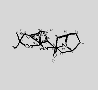 CC(C)(C)OC(=O)NC1CC2CCC(C1)N2C(=O)c1cc(Br)cs1